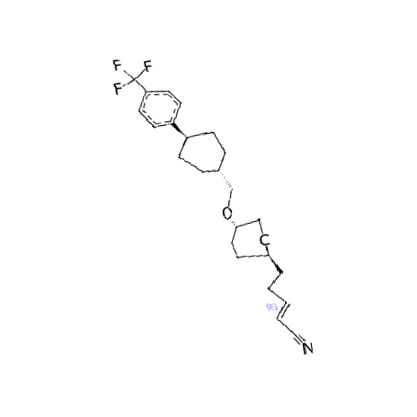 N#C/C=C/CC[C@H]1CC[C@H](OC[C@H]2CC[C@H](c3ccc(C(F)(F)F)cc3)CC2)CC1